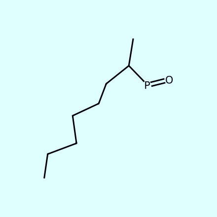 CCCCCCC(C)P=O